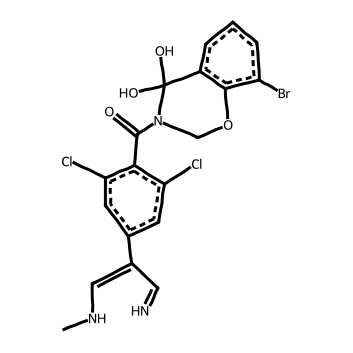 CN/C=C(\C=N)c1cc(Cl)c(C(=O)N2COc3c(Br)cccc3C2(O)O)c(Cl)c1